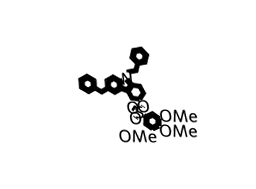 COc1cc(S(=O)(=O)OC2CCc3c(c4cc(Cc5ccccc5)ccc4n3CCc3ccccc3)C2)cc(OC)c1OC